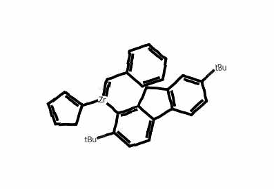 CC(C)(C)c1ccc2c(c1)Cc1c-2ccc(C(C)(C)C)[c]1/[Zr](=[CH]\c1ccccc1)[C]1=CC=CC1